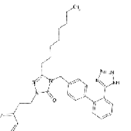 CCCCCCCCc1nn(CCc2ccccc2)c(=O)n1Cc1ccc(-c2ccccc2-c2nnn[nH]2)cc1